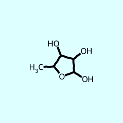 CC1OC(O)C(O)C1O